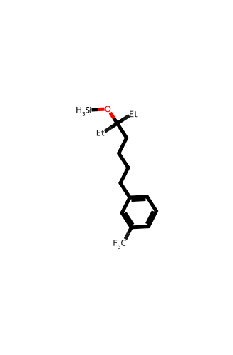 CCC(CC)(CCCCc1cccc(C(F)(F)F)c1)O[SiH3]